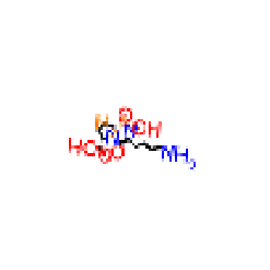 NCCCC[C@@H](C(=O)N1CCC[C@H]1C(=O)O)N(O)[PH2]=O